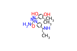 CCCC(=N)c1ccc(-n2c(C(N)=O)nnc2-c2cc(C(C)C)c(O)cc2O)cc1